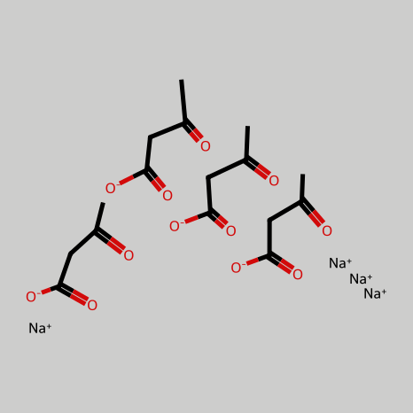 CC(=O)CC(=O)[O-].CC(=O)CC(=O)[O-].CC(=O)CC(=O)[O-].CC(=O)CC(=O)[O-].[Na+].[Na+].[Na+].[Na+]